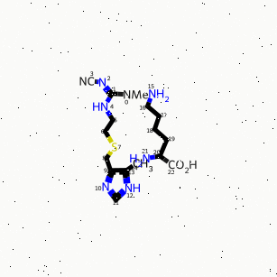 CN/C(=N/C#N)NCCSCc1nc[nH]c1C.NCCCCC(N)C(=O)O